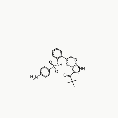 CC(C)(C)C(=O)c1c[nH]c2ncc(-c3ccccc3NS(=O)(=O)c3ccc(N)cc3)nc12